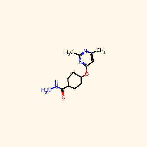 Cc1cc(OC2CCC(C(=O)NN)CC2)nc(C)n1